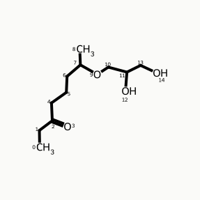 CCC(=O)CCCC(C)OCC(O)CO